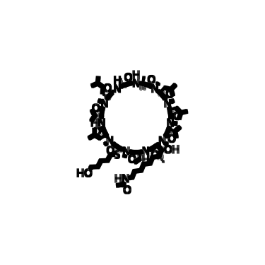 CC[C@@H]1NC(=O)[C@H]([C@H](O)[C@H](C)CCCCCCNC(C)=O)N(C)C(=O)[C@H](C(C)C)N(C)C(=O)[C@H](CC(C)C)N(C)C(=O)[C@H](CC(C)C)N(C)C(=O)[C@H](C)NC(=O)[C@@H](C)NC(=O)[C@@H](CCC(C)C)N(C)C(=O)[C@@H](C(C)C)NC(=O)[C@H](CC(C)C)N(C)C(=O)[C@@H](SCCCCCO)N(C)C1=O